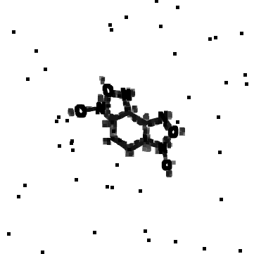 [O-][n+]1onc2c3no[n+]([O-])c3ccc21